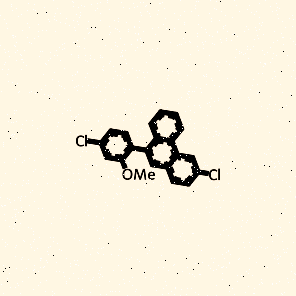 COc1cc(Cl)ccc1-c1cc2ccc(Cl)cc2c2ccccc12